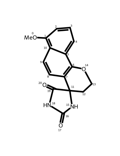 COc1cccc2c3c(ccc12)C1(CCO3)NC(=O)NC1=O